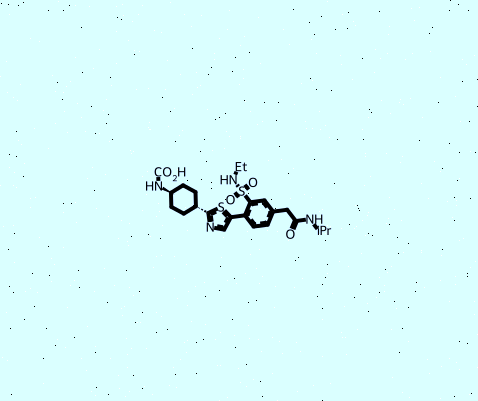 CCNS(=O)(=O)c1cc(CC(=O)NC(C)C)ccc1-c1cnc([C@H]2CC[C@H](NC(=O)O)CC2)s1